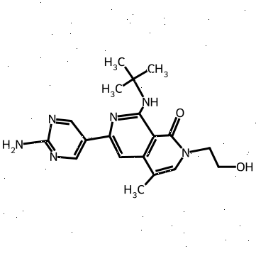 Cc1cn(CCO)c(=O)c2c(NC(C)(C)C)nc(-c3cnc(N)nc3)cc12